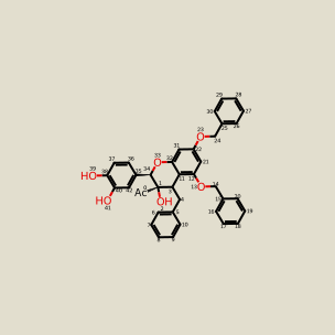 CC(=O)[C@]1(O)C(Cc2ccccc2)c2c(OCc3ccccc3)cc(OCc3ccccc3)cc2O[C@@H]1c1ccc(O)c(O)c1